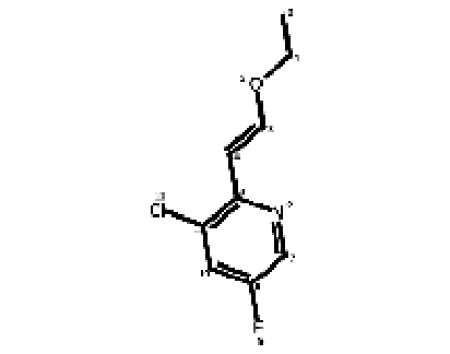 CCOC=Cc1ncc(F)cc1Cl